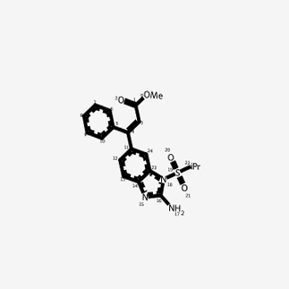 COC(=O)C=C(c1ccccc1)c1ccc2nc(N)n(S(=O)(=O)C(C)C)c2c1